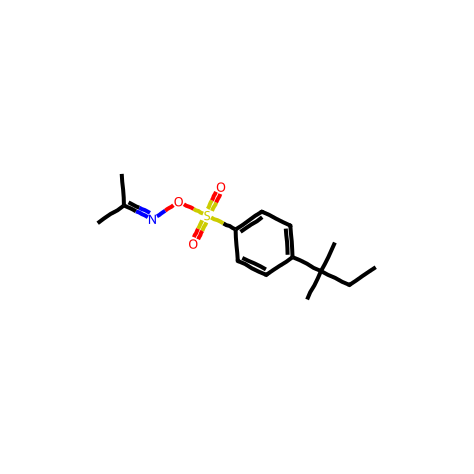 CCC(C)(C)c1ccc(S(=O)(=O)ON=C(C)C)cc1